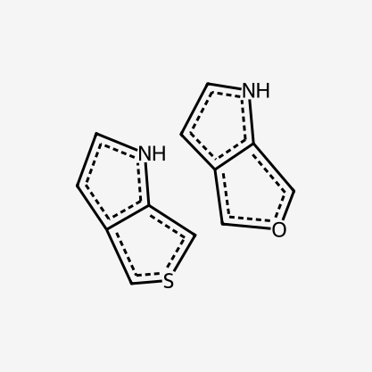 c1cc2cocc2[nH]1.c1cc2cscc2[nH]1